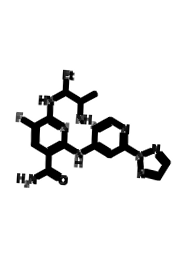 CCC(Nc1nc(Nc2ccnc(-n3nccn3)c2)c(C(N)=O)cc1F)C(C)N